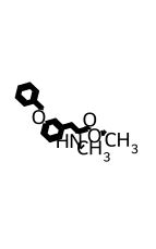 CCOC(=O)C(Cc1cccc(OCc2ccccc2)c1)NC